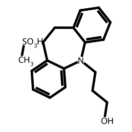 CS(=O)(=O)O.OCCCN1c2ccccc2CCc2ccccc21